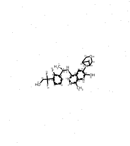 Cc1nnc(N[C@H](C)c2cccc(C(F)(F)CO)c2F)c2cc(N3C4COCC3C4)c(O)nc12